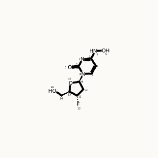 O=c1nc(NO)ccn1[C@H]1C[C@H](F)[C@@H](CO)O1